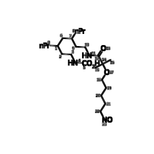 CCCC(CCNC(=O)O)CC(CCC)CCNC(=O)C(C)(C)OCCCCCN=O